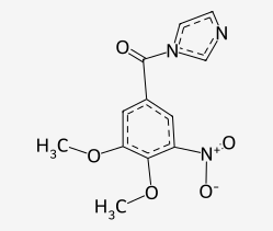 COc1cc(C(=O)n2ccnc2)cc([N+](=O)[O-])c1OC